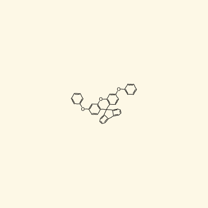 c1ccc(Oc2ccc3c(c2)Oc2cc(Oc4ccccc4)ccc2C32c3ccccc3-c3ccccc32)cc1